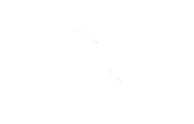 CC(C)(C)OC(=O)NCCCc1cc2c(Cl)ccnc2[nH]1